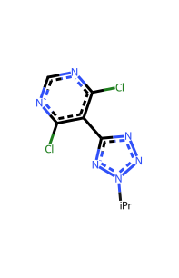 CC(C)n1nnc(-c2c(Cl)ncnc2Cl)n1